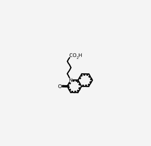 O=C(O)CCCn1c(=O)ccc2ccccc21